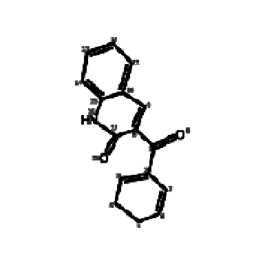 O=C(C1=CCCC=C1)c1cc2ccccc2[nH]c1=O